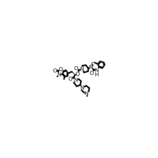 Cc1cc(C[C@@H](OC(=O)N2CCC(N3CCc4ccccc4NC3=O)CC2)C(=O)N2CCC(N3CCCN(C)CC3)CC2)cc2oc(=O)n(C)c12